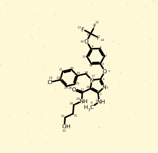 CNc1nc(Oc2ccc(OC(F)(F)F)cc2)n(Cc2ccc(Cl)cc2)c1C(=O)NCCCO